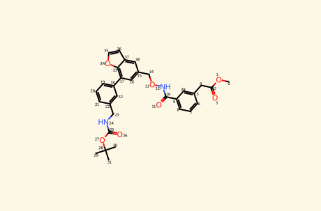 COC(=O)Cc1cccc(C(=O)NOCc2cc(-c3cccc(CNC(=O)OC(C)(C)C)c3)c3occc3c2)c1